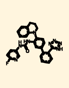 O=C(Nc1ccc(F)nc1)Nc1cc(-c2ccccc2-c2nnn[nH]2)ccc1N1CCCc2ccccc21